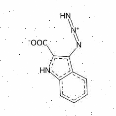 N=[N+]=Nc1c(C(=O)[O-])[nH]c2ccccc12